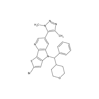 Cc1nnn(C)c1-c1cnc2c3sc(Br)cc3n(C(c3ccccc3)C3CCOCC3)c2c1